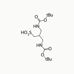 CC(C)(C)OC(=O)NCC(CNC(=O)OC(C)(C)C)CS(=O)(=O)O